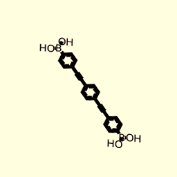 OB(O)c1ccc(C#Cc2ccc(C#Cc3ccc(B(O)O)cc3)cc2)cc1